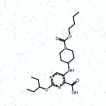 CCCCOC(=O)N1CCC(Nc2cnc(OC(CC)CC)nc2C(=O)O)CC1